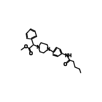 CCCCC(=O)Nc1ccc(N2CCN(C(C(=O)OC)c3ccccc3)CC2)cc1